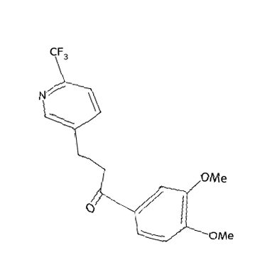 COc1ccc(C(=O)CCc2ccc(C(F)(F)F)nc2)cc1OC